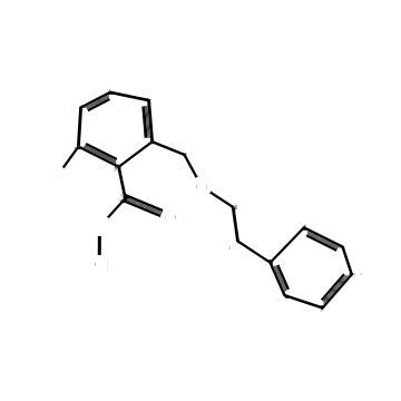 COC(=O)c1c(O)cccc1COCCc1ccccc1